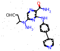 CC(CC=O)N(N)c1cnc(C(N)=O)c(Nc2ccc(-c3ccncc3)cc2)n1